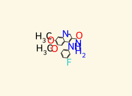 COc1cc2ncc(C(N)=O)c(Nc3cccc(F)c3)c2cc1OC